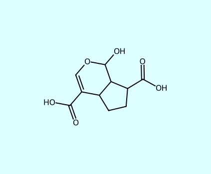 O=C(O)C1=COC(O)C2C(C(=O)O)CCC12